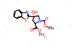 CC(C)(C)OC(=O)N1C[C@](O)(c2nc3ccccc3s2)CC1C(=O)OP